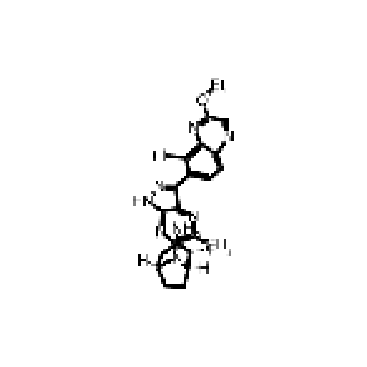 CCOc1cnc2ccc(-c3n[nH]c4nc(N5[C@H]6CC[C@@H]5[C@@H](F)[C@@H](N)C6)c(C)nc34)c(Cl)c2n1